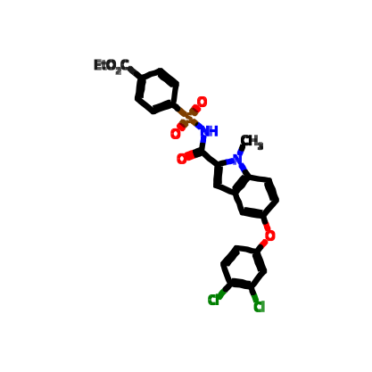 CCOC(=O)c1ccc(S(=O)(=O)NC(=O)c2cc3cc(Oc4ccc(Cl)c(Cl)c4)ccc3n2C)cc1